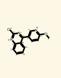 COc1ccc(-c2nc(Cl)nc3ccccc23)cn1